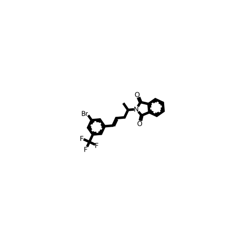 CC(CC=Cc1cc(Br)cc(C(F)(F)F)c1)N1C(=O)c2ccccc2C1=O